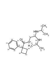 CC(C)NC(COC(=O)C1(c2ccccc2)CCC1)NC(C)C